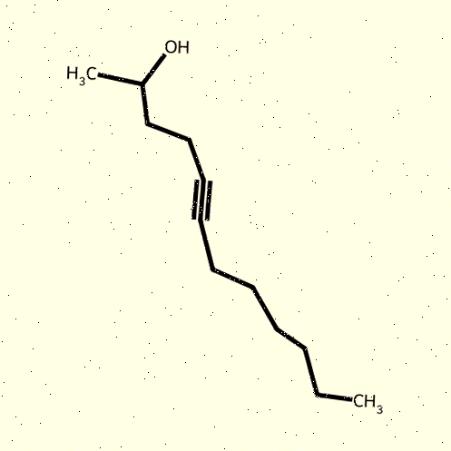 CCCCCCC#CCCC(C)O